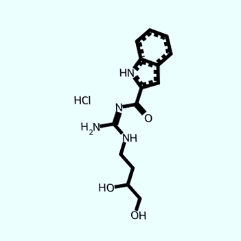 Cl.NC(=NC(=O)c1cc2ccccc2[nH]1)NCCC(O)CO